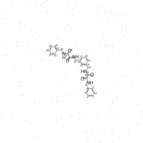 O=C(NCc1ccccc1)C(=O)NCc1cccc(CNC(=O)C(=O)NCc2ccccc2)c1